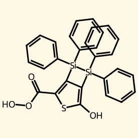 O=C(OO)c1sc(O)c2c1[Si](c1ccccc1)(c1ccccc1)[Si]2(c1ccccc1)c1ccccc1